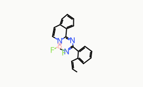 C/C=C\c1ccccc1C(=N/C)/N=c1/c2ccccc2ccn1B(F)F